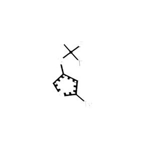 FC(F)(F)Sc1csc(Br)c1